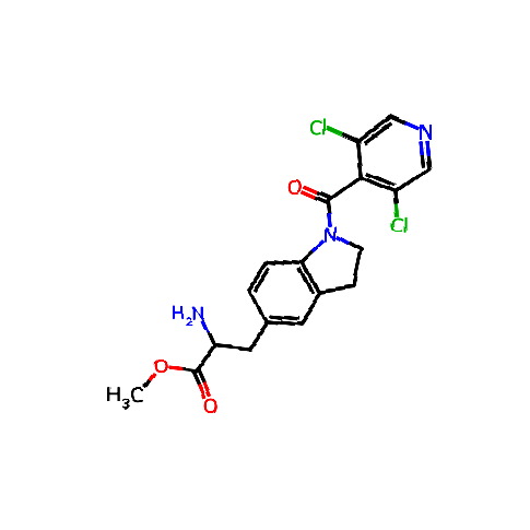 COC(=O)C(N)Cc1ccc2c(c1)CCN2C(=O)c1c(Cl)cncc1Cl